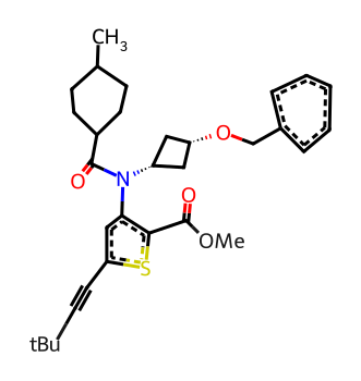 COC(=O)c1sc(C#CC(C)(C)C)cc1N(C(=O)C1CCC(C)CC1)[C@H]1C[C@@H](OCc2ccccc2)C1